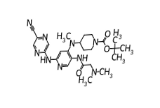 CN(C)CC(=O)Nc1cnc(Nc2cnc(C#N)cn2)cc1N(C)C1CCN(C(=O)OC(C)(C)C)CC1